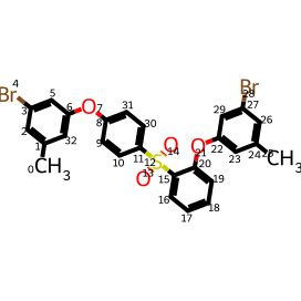 Cc1cc(Br)cc(Oc2ccc(S(=O)(=O)c3ccccc3Oc3cc(C)cc(Br)c3)cc2)c1